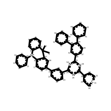 CC1(C)c2ccccc2N(c2ccccc2)c2ccc(-c3cccc(-c4nc(-c5ccccc5)nc(-c5ccc(-c6ccccc6)c(-c6ccccc6)c5)n4)c3)cc21